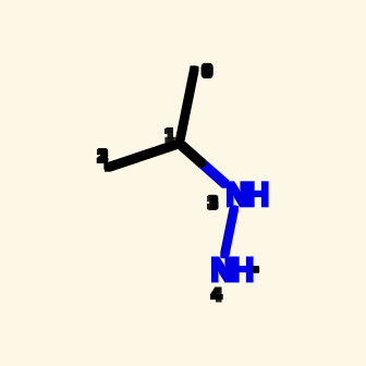 CC(C)N[NH]